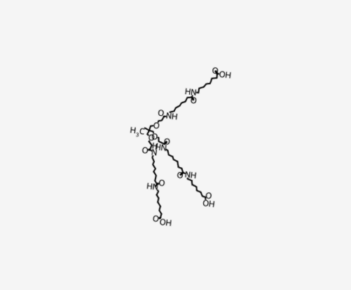 CCC(COCCC(=O)NCCCCCCCC(=O)NCCCCCCCC(=O)O)(COCCC(=O)NCCCCCCCC(=O)NCCCCCCCC(=O)O)COCCC(=O)NCCCCCCCC(=O)NCCCCCCCC(=O)O